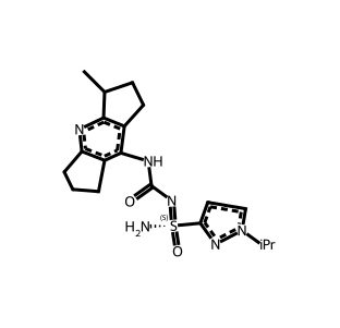 CC1CCc2c1nc1c(c2NC(=O)N=[S@](N)(=O)c2ccn(C(C)C)n2)CCC1